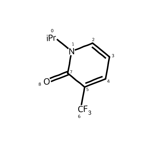 CC(C)n1cccc(C(F)(F)F)c1=O